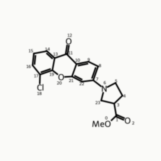 COC(=O)C1CCN(c2ccc3c(=O)c4cccc(Cl)c4oc3c2)C1